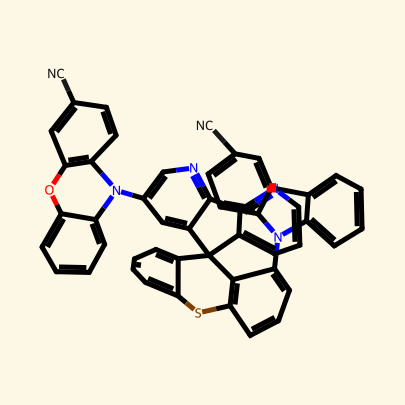 N#Cc1ccc2c(c1)Oc1ccccc1N2c1cnc2c(c1)C1(c3ccccc3Sc3cccc(-n4c5ccccc5c5cc(C#N)ccc54)c31)c1cccnc1-2